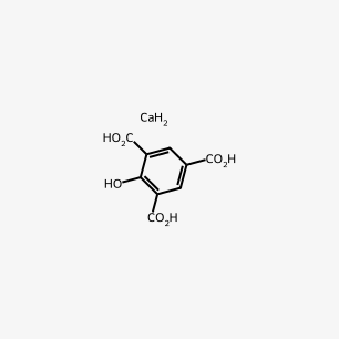 O=C(O)c1cc(C(=O)O)c(O)c(C(=O)O)c1.[CaH2]